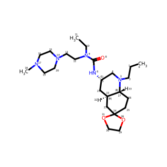 CCCN1C[C@@H](NC(=O)N(CC)CCN2CCN(C)CC2)C[C@@H]2CC3(CC[C@H]21)OCCO3